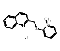 C[n+]1ccccc1SCc1ccc2ccccc2n1.[Cl-]